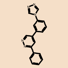 c1ccc(-c2cc(-c3cccc(-n4cnnc4)c3)cnn2)cc1